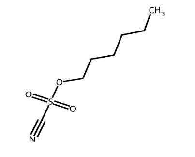 CCCCCCOS(=O)(=O)C#N